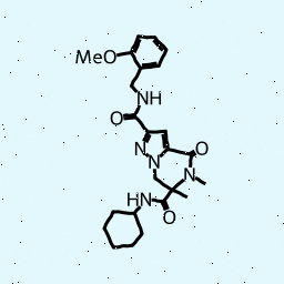 COc1ccccc1CNC(=O)c1cc2n(n1)CC(C)(C(=O)NC1CCCCC1)N(C)C2=O